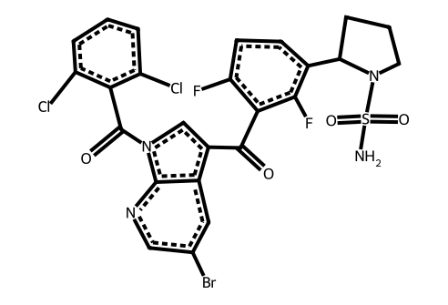 NS(=O)(=O)N1CCCC1c1ccc(F)c(C(=O)c2cn(C(=O)c3c(Cl)cccc3Cl)c3ncc(Br)cc23)c1F